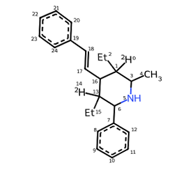 [2H]C1(CC)C(C)NC(c2ccccc2)C([2H])(CC)C1/C=C/c1ccccc1